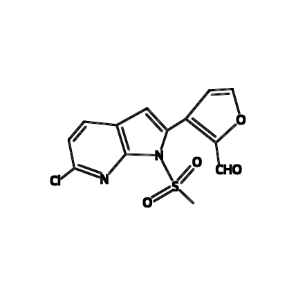 CS(=O)(=O)n1c(-c2ccoc2C=O)cc2ccc(Cl)nc21